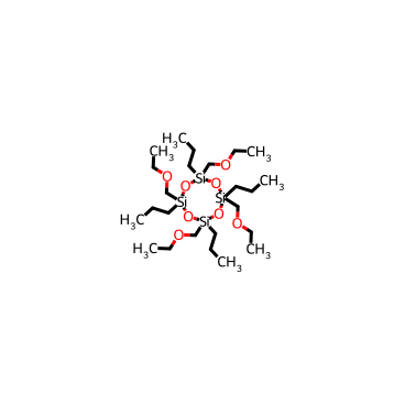 CCC[Si]1(COCC)O[Si](CCC)(COCC)O[Si](CCC)(COCC)O[Si](CCC)(COCC)O1